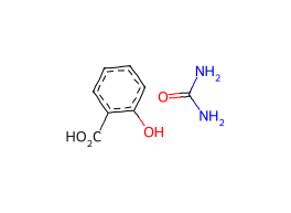 NC(N)=O.O=C(O)c1ccccc1O